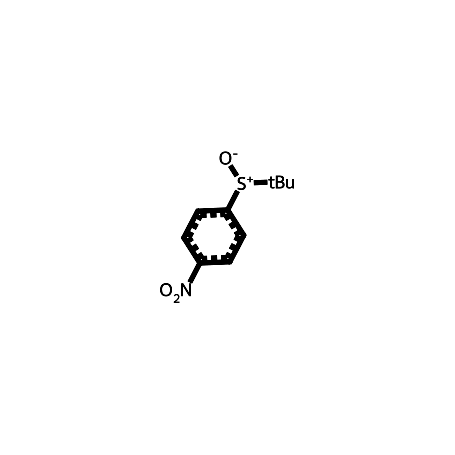 CC(C)(C)[S+]([O-])c1ccc([N+](=O)[O-])cc1